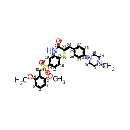 COc1cccc(OC)c1CS(=O)(=O)c1ccc2c(c1)NC(=O)/C(=C/c1ccc(N3CCN(C)CC3)cc1)S2